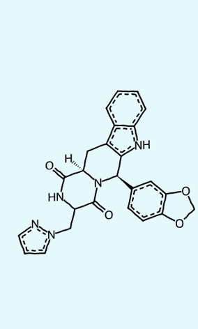 O=C1NC(Cn2cccn2)C(=O)N2[C@H](c3ccc4c(c3)OCO4)c3[nH]c4ccccc4c3C[C@H]12